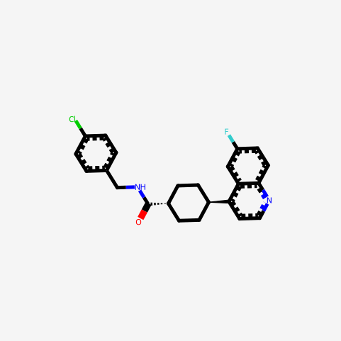 O=C(NCc1ccc(Cl)cc1)[C@H]1CC[C@H](c2ccnc3ccc(F)cc32)CC1